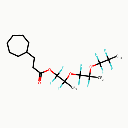 O=C(CCC1CCCCCC1)OC(F)(F)C(F)(OC(F)(F)C(F)(OC(F)(F)C(F)(F)C(F)(F)F)C(F)(F)F)C(F)(F)F